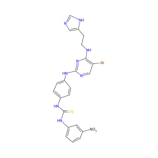 O=[N+]([O-])c1cccc(NC(=S)Nc2ccc(Nc3ncc(Br)c(NCCc4cnc[nH]4)n3)cc2)c1